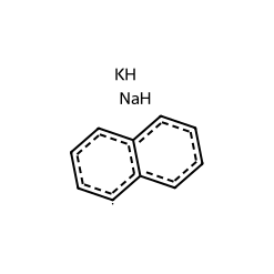 [KH].[NaH].[c]1cccc2ccccc12